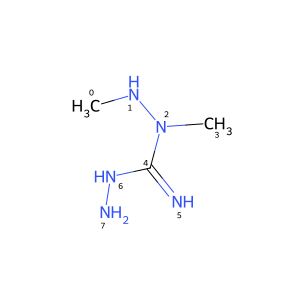 CNN(C)C(=N)NN